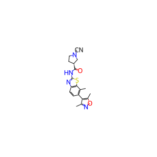 Cc1noc(C)c1-c1ccc2nc(NC(=O)[C@H]3CCN(C#N)C3)sc2c1C